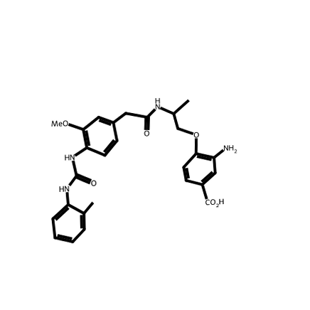 COc1cc(CC(=O)NC(C)COc2ccc(C(=O)O)cc2N)ccc1NC(=O)Nc1ccccc1C